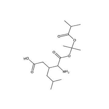 CC(C)CC(CC(=O)O)C(N)C(=O)OC(C)(C)OC(=O)C(C)C